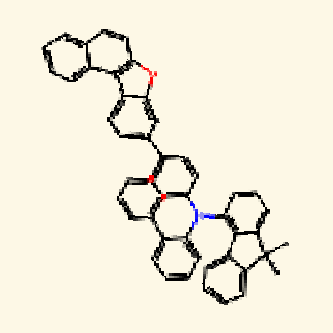 CC1(C)c2ccccc2-c2c(N(c3ccc(-c4ccc5c(c4)oc4ccc6ccccc6c45)cc3)c3ccccc3-c3ccccc3)cccc21